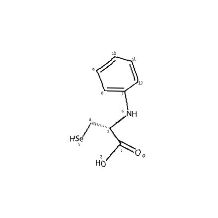 O=C(O)[C@H](C[SeH])Nc1ccccc1